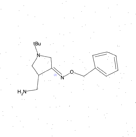 CC(C)(C)N1C/C(=N\OCc2ccccc2)C(CN)C1